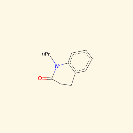 CCCN1C(=O)CCc2c[c]ccc21